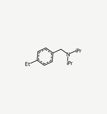 CCc1ccc(CN(C(C)C)C(C)C)cc1